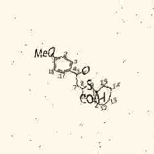 COc1ccc(C(=O)CC(SC2CCCCC2)C(=O)O)cc1